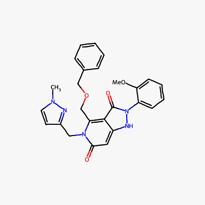 COc1ccccc1-n1[nH]c2cc(=O)n(Cc3ccn(C)n3)c(COCc3ccccc3)c2c1=O